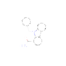 NC(=O)c1c[c]cc2c3ccccc3n(Cc3ccccc3)c12